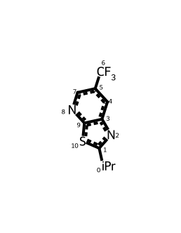 CC(C)c1nc2cc(C(F)(F)F)cnc2s1